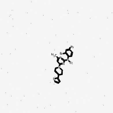 CCN(c1nc(C)cc(N2CC=C(c3cccs3)CC2)n1)c1ccc(C(C)C)cc1Br